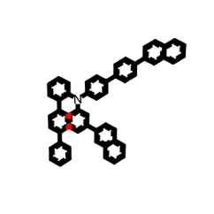 c1ccc(-c2ccc(-c3ccccc3N(c3ccc(-c4ccc(-c5ccc6ccccc6c5)cc4)cc3)c3cccc(-c4ccc5ccccc5c4)c3)cc2)cc1